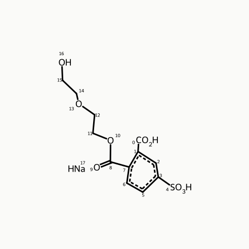 O=C(O)c1cc(S(=O)(=O)O)ccc1C(=O)OCCOCCO.[NaH]